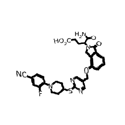 N#Cc1ccc(N2CCC(Sc3ncc(COc4cccc5c4CN(C(CCC(=O)O)C(N)=O)C5=O)cn3)CC2)c(F)c1